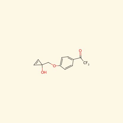 O=C(c1ccc(OCC2(O)C=C2)cc1)C(F)(F)F